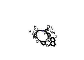 C=CC[C@@]1(OC)/C=C/C[C@H](C)[C@@H](C)S(=O)(=O)NC(=O)c2ccc3c(c2)N(C[C@@H]2CC[C@H]21)C[C@@]1(CCCc2cc(Cl)ccc21)CO3